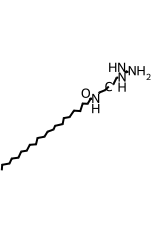 CCCCCCCCCCCCCCCCCCCCCC(=O)NCCCCCNC(=N)N